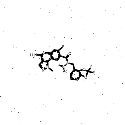 CC(=O)N(C)N(Cc1cccc2c1OC(F)(F)O2)C(=O)c1cc2c(cc1F)nc(N)c1cnn(C)c12